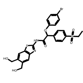 CCS(=O)(=O)c1ccc(C(Oc2ccc(Br)cc2)C(=O)Nc2nc3cc(CO)c(CO)cc3s2)cc1